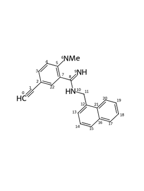 C#Cc1ccc(NC)c(C(=N)NCc2cccc3ccccc23)c1